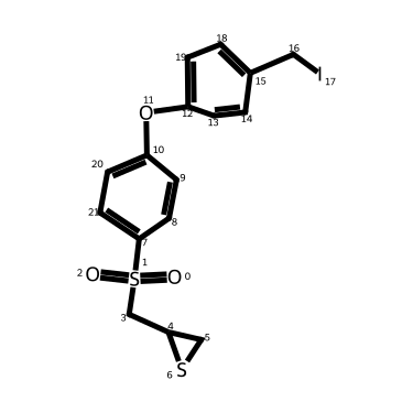 O=S(=O)(CC1CS1)c1ccc(Oc2ccc(CI)cc2)cc1